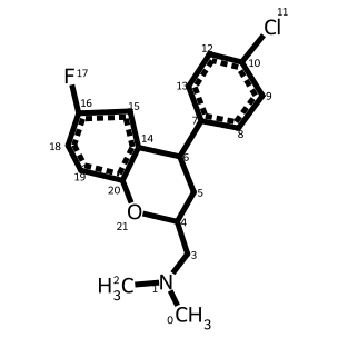 CN(C)CC1CC(c2ccc(Cl)cc2)c2cc(F)ccc2O1